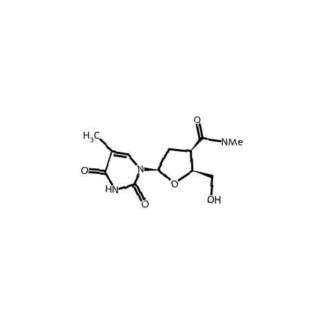 CNC(=O)[C@@H]1C[C@H](n2cc(C)c(=O)[nH]c2=O)O[C@@H]1CO